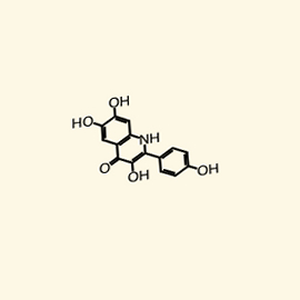 O=c1c(O)c(-c2ccc(O)cc2)[nH]c2cc(O)c(O)cc12